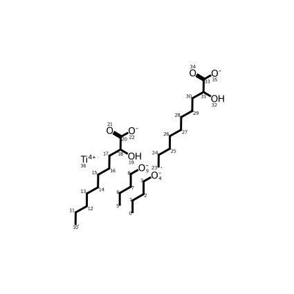 CCCC[O-].CCCC[O-].[CH2]CCCCCCCC(O)C(=O)[O-].[CH2]CCCCCCCC(O)C(=O)[O-].[Ti+4]